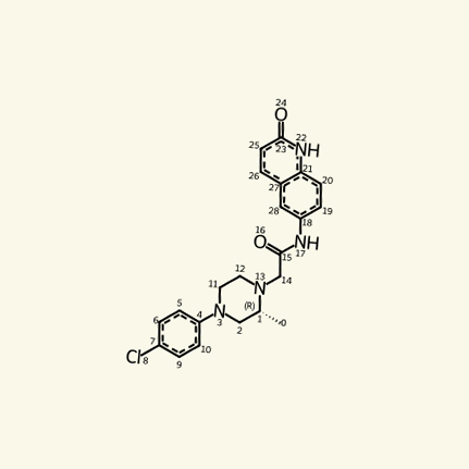 C[C@@H]1CN(c2ccc(Cl)cc2)CCN1CC(=O)Nc1ccc2[nH]c(=O)ccc2c1